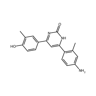 Cc1cc(-c2cc(-c3ccc(N)cc3C)[nH]c(=O)n2)ccc1O